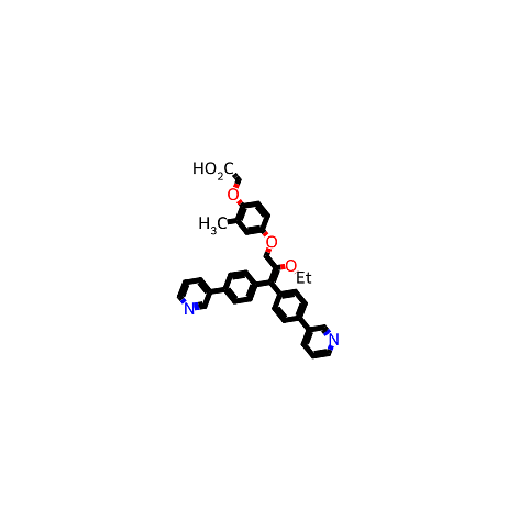 CCOC(COc1ccc(OCC(=O)O)c(C)c1)=C(c1ccc(-c2cccnc2)cc1)c1ccc(-c2cccnc2)cc1